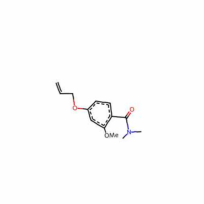 C=CCOc1ccc(C(=O)N(C)C)c(OC)c1